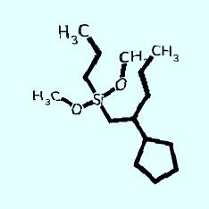 CCCC(C[Si](CCC)(OC)OC)C1CCCC1